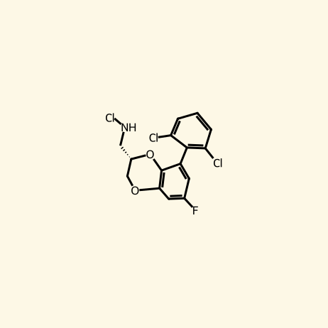 Fc1cc2c(c(-c3c(Cl)cccc3Cl)c1)O[C@@H](CNCl)CO2